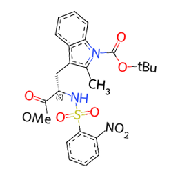 COC(=O)[C@H](Cc1c(C)n(C(=O)OC(C)(C)C)c2ccccc12)NS(=O)(=O)c1ccccc1[N+](=O)[O-]